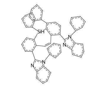 C1=Cc2c(-c3nc4ccccc4n3-c3ccccc3)ccc(-c3ccccc3)c2[SiH](c2ccccc2)c2cccc(-c3nc4ccccc4n3-c3ccccc3)c21